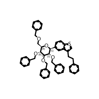 c1ccc(CCc2csc3ccc([C@@H]4O[C@H](COCc5ccccc5)[C@@H](OCc5ccccc5)[C@H](OCc5ccccc5)[C@H]4OCc4ccccc4)cc23)cc1